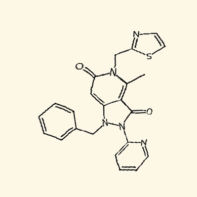 Cc1c2c(=O)n(-c3ccccn3)n(Cc3ccccc3)c2cc(=O)n1Cc1nccs1